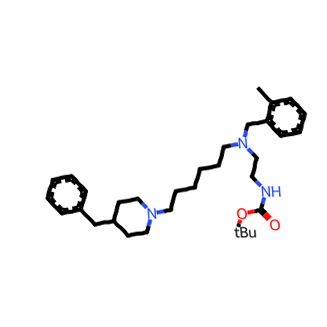 Cc1ccccc1CN(CCCCCCN1CCC(Cc2ccccc2)CC1)CCNC(=O)OC(C)(C)C